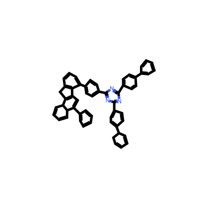 C1=CCC(c2ccc(-c3nc(-c4ccc(-c5ccccc5)cc4)nc(-c4ccc(-c5cccc6c5C5=C(C6)C6C=CC=CC6C(c6ccccc6)=C5)cc4)n3)cc2)C=C1